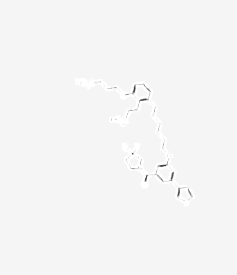 O=C(O)CCCOc1cccc(CCCCCCOc2cc(C(=O)N3CCC(F)(F)C3)cc(-c3ccsc3)c2)c1CCC(=O)O